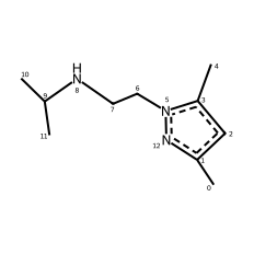 Cc1cc(C)n(CCNC(C)C)n1